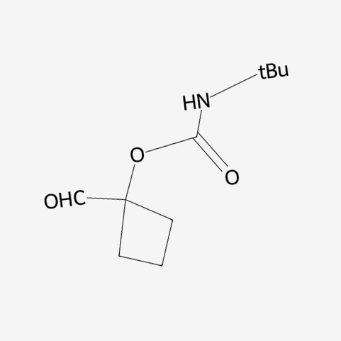 CC(C)(C)NC(=O)OC1(C=O)CCC1